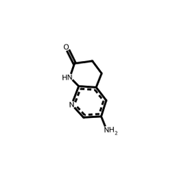 Nc1cnc2c(c1)CCC(=O)N2